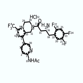 CC(=O)Nc1ccc(-c2nc(C(F)(F)F)n3c2CN(C(=O)C[C@H](N)Cc2cc(F)c(F)cc2F)CC3)cn1.Cl